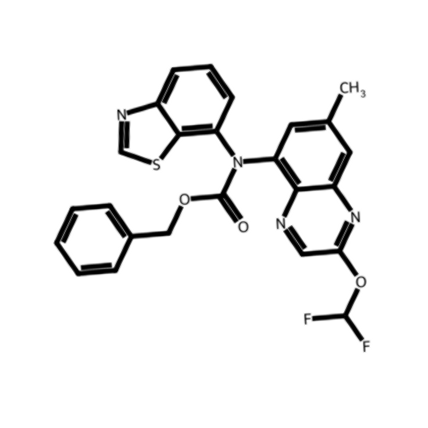 Cc1cc(N(C(=O)OCc2ccccc2)c2cccc3ncsc23)c2ncc(OC(F)F)nc2c1